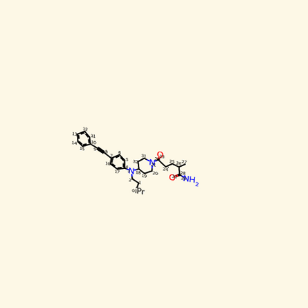 CC(C)CCN(c1ccc(C#Cc2ccccc2)cc1)C1CCN(C(=O)[CH]CC(C)C(N)=O)CC1